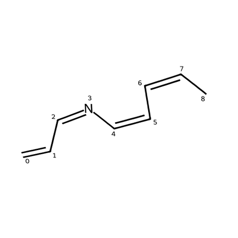 C=C\C=N/C=C\C=C/C